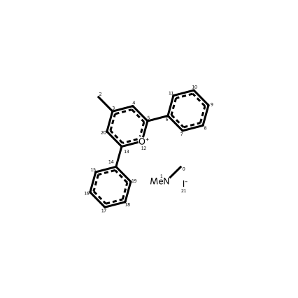 CNC.Cc1cc(-c2ccccc2)[o+]c(-c2ccccc2)c1.[I-]